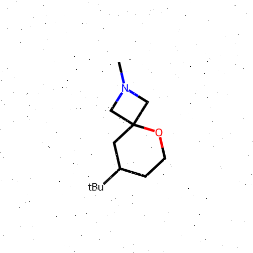 CN1CC2(CC(C(C)(C)C)CCO2)C1